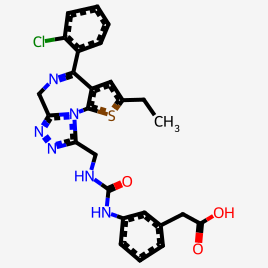 CCc1cc2c(s1)-n1c(nnc1CNC(=O)Nc1cccc(CC(=O)O)c1)CN=C2c1ccccc1Cl